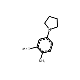 COc1cc(N2CCCC2)ccc1N